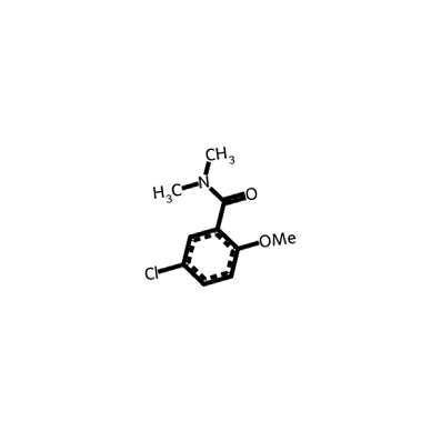 COc1ccc(Cl)cc1C(=O)N(C)C